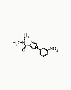 CN(C)C(=O)c1cn(-c2cccc([N+](=O)[O-])c2)cn1